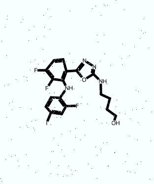 OCCCCNc1nnc(-c2ccc(F)c(F)c2Nc2ccc(I)cc2F)o1